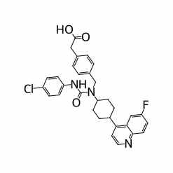 O=C(O)Cc1ccc(CN(C(=O)Nc2ccc(Cl)cc2)C2CCC(c3ccnc4ccc(F)cc34)CC2)cc1